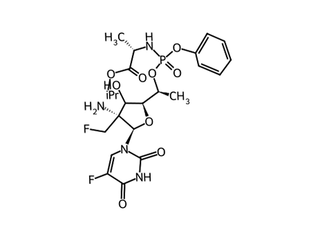 CC(C)OC(=O)[C@H](C)NP(=O)(Oc1ccccc1)O[C@@H](C)[C@H]1O[C@@H](n2cc(F)c(=O)[nH]c2=O)[C@@](N)(CF)C1O